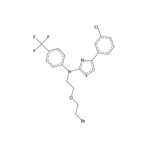 FC(F)(F)c1ccc(N(CCOCCBr)c2nc(-c3cccc(Cl)c3)cs2)cc1